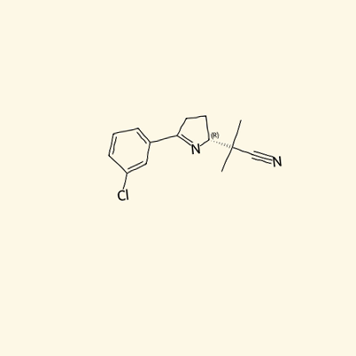 CC(C)(C#N)[C@H]1CCC(c2cccc(Cl)c2)=N1